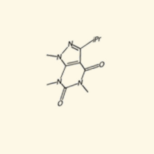 CC(C)c1nn(C)c2c1c(=O)n(C)c(=O)n2C